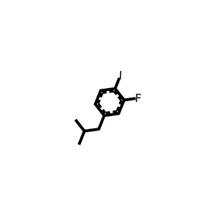 CC(C)Cc1ccc(I)c(F)c1